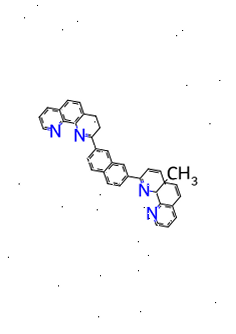 CC12C=CC(c3ccc4ccc(C5=Nc6c(ccc7cccnc67)CC5)cc4c3)=NC1c1ncccc1C=C2